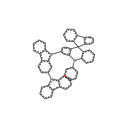 c1ccc(N2c3ccccc3C3(c4ccccc4-c4ccccc43)c3ccc(-n4c5ccccc5c5ccc(-n6c7ccccc7c7ccccc76)cc54)cc32)cc1